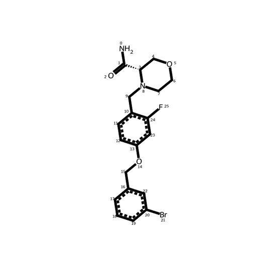 NC(=O)[C@@H]1COCCN1Cc1ccc(OCc2cccc(Br)c2)cc1F